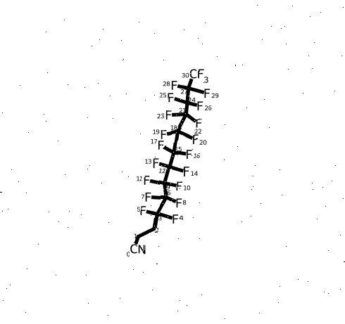 N#CCCC(F)(F)C(F)(F)C(F)(F)C(F)(F)C(F)(F)C(F)(F)C(F)(F)C(F)(F)C(F)(F)C(F)(F)F